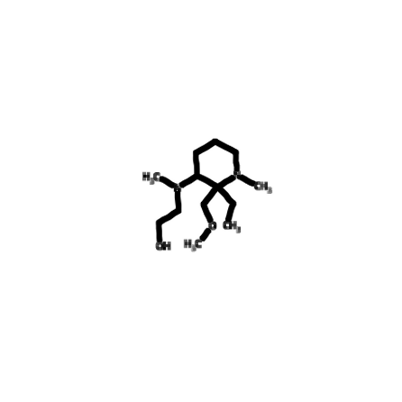 CCC1(COC)C(N(C)CCO)CCCN1C